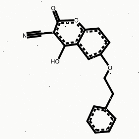 N#Cc1c(O)c2cc(OCCc3ccccc3)ccc2oc1=O